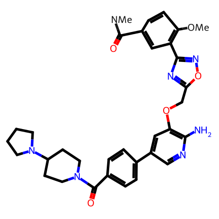 CNC(=O)c1ccc(OC)c(-c2noc(COc3cc(-c4ccc(C(=O)N5CCC(N6CCCC6)CC5)cc4)cnc3N)n2)c1